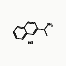 CC(N)c1ccc2ccccc2c1.Cl